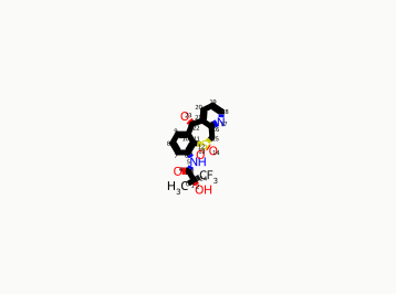 CC(O)(C(=O)Nc1cccc2c1S(=O)(=O)Cc1ncccc1C2=O)C(F)(F)F